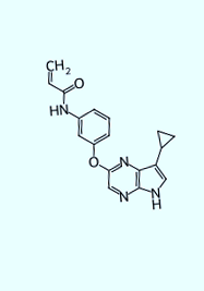 C=CC(=O)Nc1cccc(Oc2cnc3[nH]cc(C4CC4)c3n2)c1